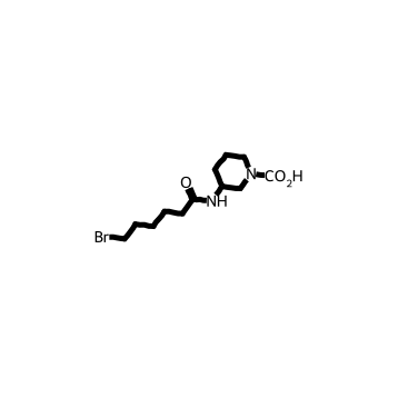 O=C(CCCCCBr)NC1CCCN(C(=O)O)C1